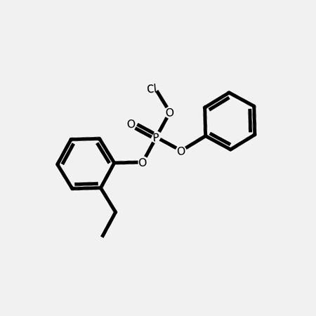 CCc1ccccc1OP(=O)(OCl)Oc1ccccc1